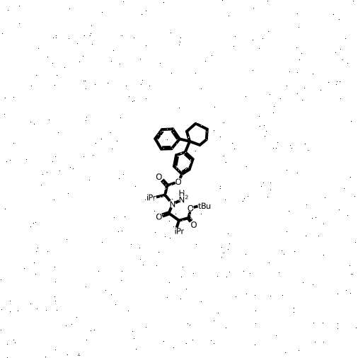 CC(C)C(C(=O)OC(C)(C)C)C(=O)N(N)C(C(=O)Oc1ccc(C2(c3ccccc3)CCCCC2)cc1)C(C)C